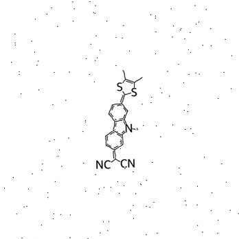 CC1=C(C)SC(=c2ccc3c4ccc(=C(C#N)C#N)cc4n(C)c3c2)S1